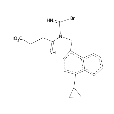 N=C(Br)N(Cc1ccc(C2CC2)c2ccccc12)C(=N)CCC(=O)O